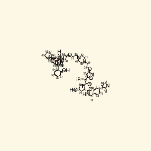 Cc1ncsc1-c1ccc([C@H](C)NC(=O)[C@@H]2C[C@@H](O)CN2C(=O)[C@@H](c2cc(OCCN3CCN(CCOC4CN(c5cc(N6C7CCC6CN(c6cc(-c8ccccc8O)nnc6N)C7)ccn5)C4)CC3)no2)C(C)C)cc1